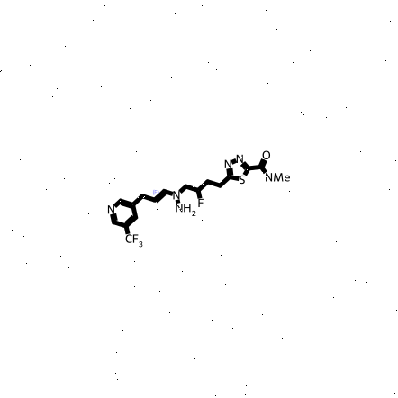 CNC(=O)c1nnc(CCC(F)CN(N)/C=C/Cc2cncc(C(F)(F)F)c2)s1